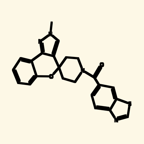 Cn1cc2c(n1)-c1ccccc1OC21CCN(C(=O)c2ccc3ncsc3c2)CC1